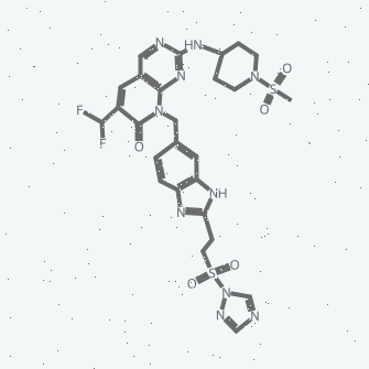 CS(=O)(=O)N1CCC(Nc2ncc3cc(C(F)F)c(=O)n(Cc4ccc5nc(CCS(=O)(=O)n6cncn6)[nH]c5c4)c3n2)CC1